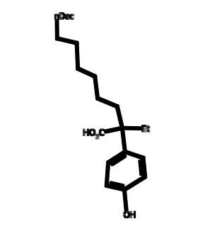 CCCCCCCCCCCCCCCCC(CC)(C(=O)O)c1ccc(O)cc1